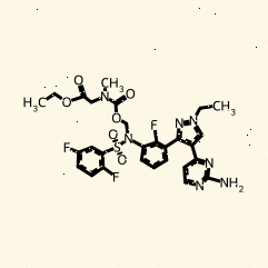 CCOC(=O)CN(C)C(=O)OCN(c1cccc(-c2nn(CC)cc2-c2ccnc(N)n2)c1F)S(=O)(=O)c1cc(F)ccc1F